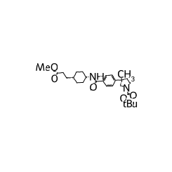 COC(=O)CC[C@H]1CC[C@H](NC(=O)c2ccc(C3(C)CCN(C(=O)OC(C)(C)C)C3)cc2)CC1